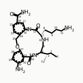 CC[C@H](C)C1CN[C@@H](CCCCN)C(=O)Nc2cc(C(N)=O)ccc2COc2ccc(N)cc2C(=O)N1